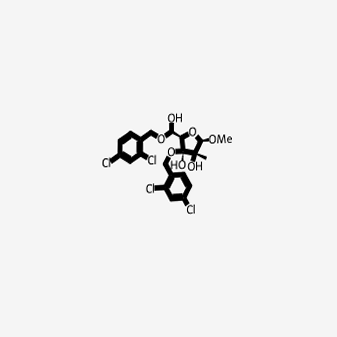 CO[C@@H]1O[C@H](C(O)OCc2ccc(Cl)cc2Cl)[C@](O)(OCc2ccc(Cl)cc2Cl)[C@@]1(C)O